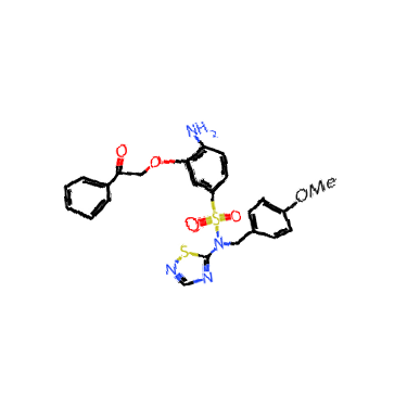 COc1ccc(CN(c2ncns2)S(=O)(=O)c2ccc(N)c(OCC(=O)c3ccccc3)c2)cc1